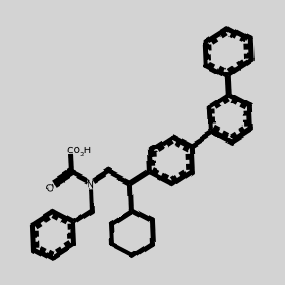 O=C(O)C(=O)N(Cc1ccccc1)CC(c1ccc(-c2cccc(-c3ccccc3)c2)cc1)C1CCCCC1